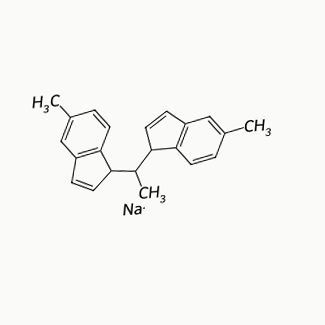 Cc1ccc2c(c1)C=CC2C(C)C1C=Cc2cc(C)ccc21.[Na]